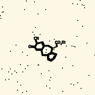 CCOC(=O)C[C@H]1CC2=CC(C#N)C(=O)C=C2Cc2ccccc21